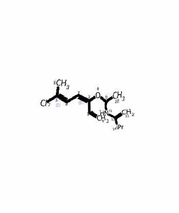 C=C/C(=C\C=C(/C)Cl)OC(C)NC(=C)C(C)C